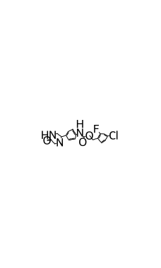 CN1CC(=O)NCC1c1ccc(NC(=O)OCc2ccc(Cl)cc2F)cc1